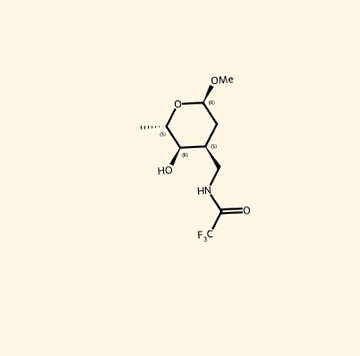 CO[C@H]1C[C@@H](CNC(=O)C(F)(F)F)[C@@H](O)[C@H](C)O1